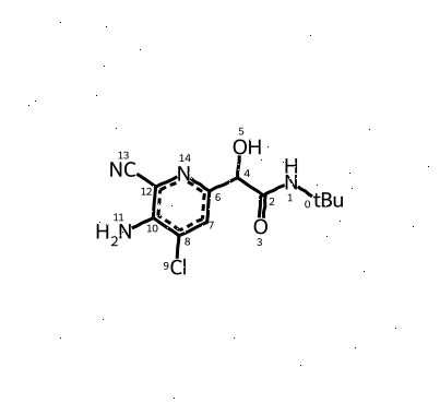 CC(C)(C)NC(=O)C(O)c1cc(Cl)c(N)c(C#N)n1